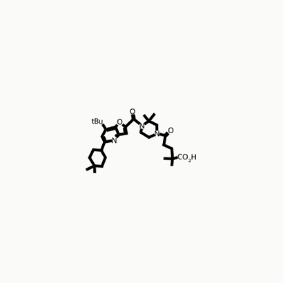 CC1(C)CCC(c2cc(C(C)(C)C)c3oc(C(=O)N4CCN(C(=O)CCC(C)(C)C(=O)O)CC4(C)C)cc3n2)CC1